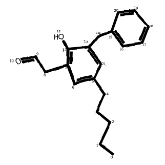 CCCCCc1cc(CC=O)c(O)c(Cc2ccccc2)c1